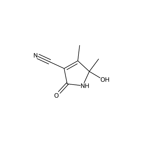 CC1=C(C#N)C(=O)NC1(C)O